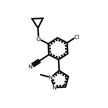 Cn1nccc1-c1cc(Cl)cc(OC2CC2)c1C#N